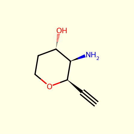 C#C[C@H]1OCC[C@H](O)[C@H]1N